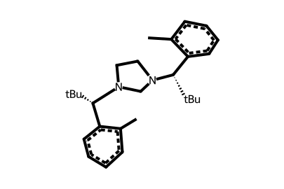 Cc1ccccc1[C@@H](N1CCN([C@H](c2ccccc2C)C(C)(C)C)C1)C(C)(C)C